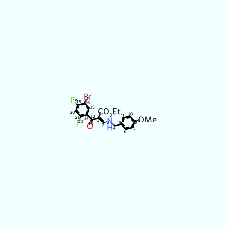 CCOC(=O)/C(=C\NCc1ccc(OC)cc1)C(=O)c1cc(Br)c(F)cc1F